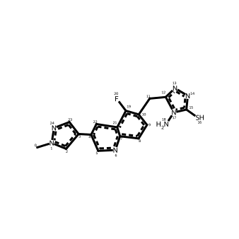 Cn1cc(-c2cnc3ccc(Cc4nnc(S)n4N)c(F)c3c2)cn1